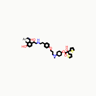 CC(=O)/C=C\c1c([C@@H](O)CNCCc2ccc(OCCCN(C)C3CCC(OC(=O)C(O)(c4cccs4)c4cccs4)CC3)cc2)ccc(O)c1C